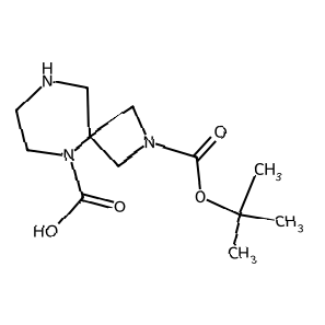 CC(C)(C)OC(=O)N1CC2(CNCCN2C(=O)O)C1